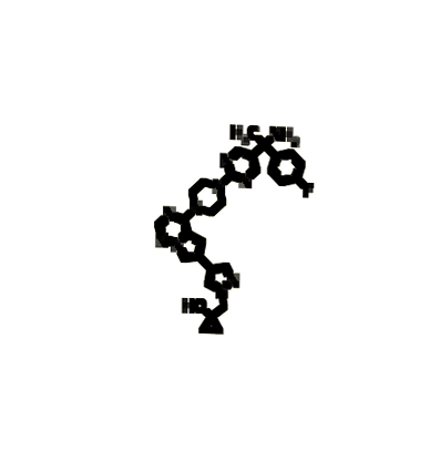 CC(N)(c1ccc(F)cc1)c1cnc(N2CCN(c3ncnn4cc(-c5cnn(CC6(O)CC6)c5)cc34)CC2)nc1